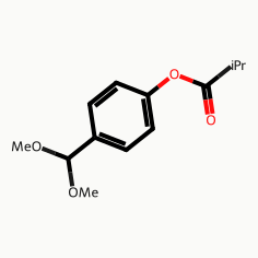 COC(OC)c1ccc(OC(=O)C(C)C)cc1